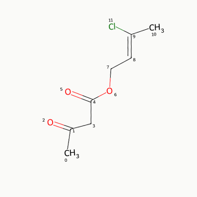 CC(=O)CC(=O)OCC=C(C)Cl